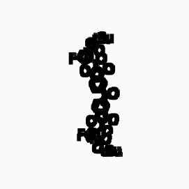 CC(C)(C)OC(=O)N1C[C@H](F)C[C@H]1C(=O)C1C(=O)c2ccc(C(=O)c3ccc4c(c3)C(=O)C(C(=O)[C@@H]3C[C@@H](F)CN3C(=O)OC(C)(C)C)C4=O)cc2C1=O